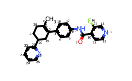 CC1=C(c2ccc(NC(=O)c3ccncc3F)cc2)CC(c2ccccn2)CC1